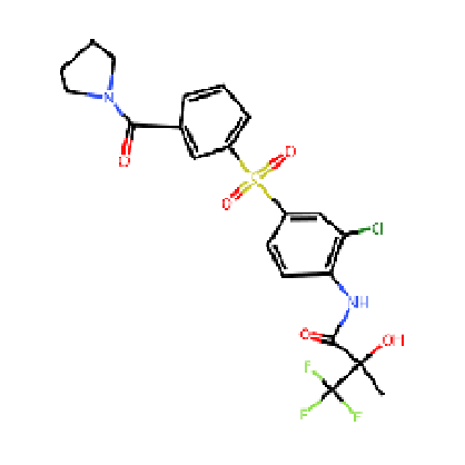 CC(O)(C(=O)Nc1ccc(S(=O)(=O)c2cccc(C(=O)N3CCCC3)c2)cc1Cl)C(F)(F)F